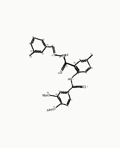 COc1ccc(C(=O)Nc2ccc(C)cc2C(=O)NN=Cc2cccc(C)c2)cc1OC